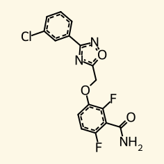 NC(=O)c1c(F)ccc(OCc2nc(-c3cccc(Cl)c3)no2)c1F